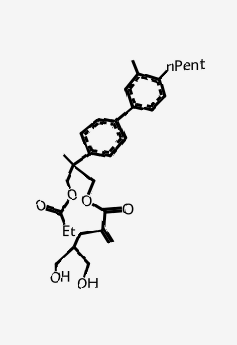 C=C(CC(CO)CO)C(=O)OCC(C)(COC(=O)CC)c1ccc(-c2ccc(CCCCC)c(C)c2)cc1